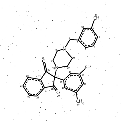 Cc1cccc(CN2CCN(C3(c4cc(C)cc(F)c4)C(=O)c4ccccc4C3=O)CC2)c1